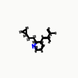 C=C(C)/C(C)=C/c1cccnc1CCC1CC1